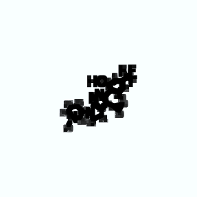 Cc1cc(C(F)(F)F)cc(O)c1-c1nnc2c(c1C1CC1)CCN2[C@@H]1CCCN(C)C1